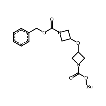 CC(C)(C)OC(=O)N1CC(OC2CN(C(=O)OCc3ccccc3)C2)C1